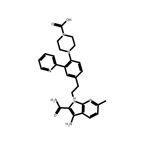 Cc1ccc2c(n1)[SH](CCc1ccc(N3CCN(C(=O)O)CC3)c(-c3ccccn3)c1)C(C(N)=O)=C2N